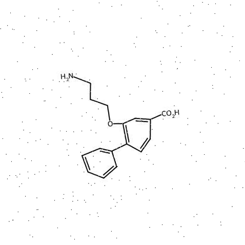 NCCCOc1cc(C(=O)O)ccc1-c1ccccc1